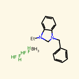 B.CCN1CN(Cc2ccccc2)c2ccccc21.F.F.F.F